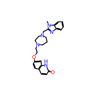 Cn1c(CN2CCCN(CCOc3ccc4ccc(=O)[nH]c4c3)CC2)nc2ccccc21